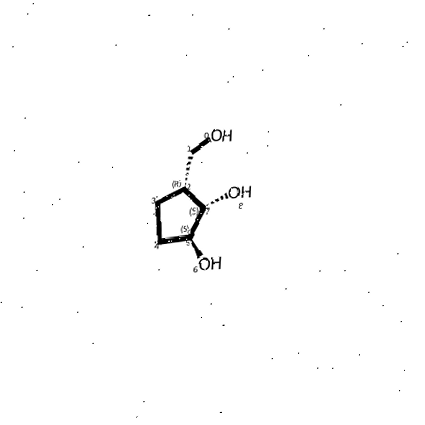 OC[C@H]1C[CH][C@H](O)[C@H]1O